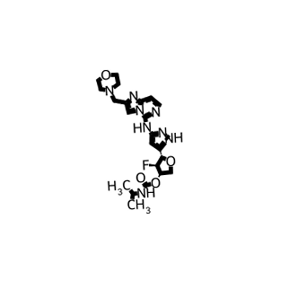 CC(C)NC(=O)O[C@H]1CO[C@@H](c2cc(Nc3nccc4nc(CN5CCOCC5)cn34)n[nH]2)[C@@H]1F